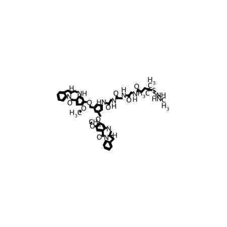 CNNSSC(C)(C)CCC(=O)NCC(=O)NCC(=O)NCC(=O)Nc1cc(COc2cc3c(cc2OC)C(=O)N2c4ccccc4C[C@H]2C=N3)cc(COc2cc3c(cc2OC)C(=O)N2c4ccccc4C[C@H]2CN3)c1